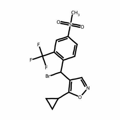 CS(=O)(=O)c1ccc(C(Br)c2cnoc2C2CC2)c(C(F)(F)F)c1